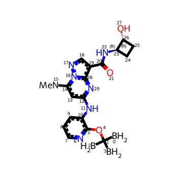 BC(B)(B)Oc1ncccc1Nc1cc(NC)n2ncc(C(=O)N[C@@H]3CC[C@H]3O)c2n1